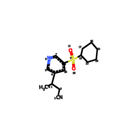 CC(CC#N)c1cncc(S(=O)(=O)C2CCCCC2)c1